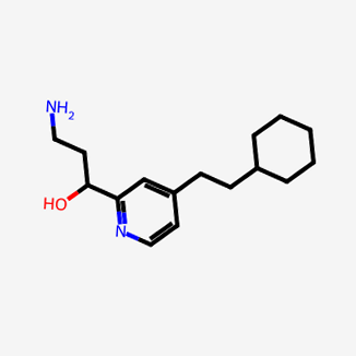 NCCC(O)c1cc(CCC2CCCCC2)ccn1